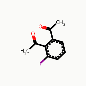 CC(=O)c1cccc(I)c1C(C)=O